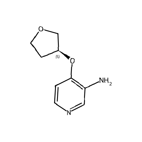 Nc1cnccc1O[C@H]1CCOC1